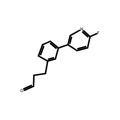 O=CCCc1cccc(-c2ccc(F)nc2)c1